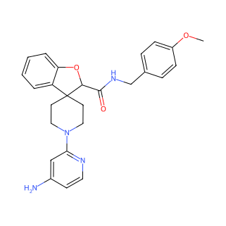 COc1ccc(CNC(=O)C2Oc3ccccc3C23CCN(c2cc(N)ccn2)CC3)cc1